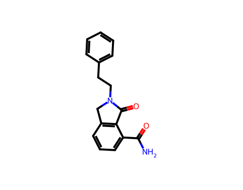 NC(=O)c1cccc2c1C(=O)N(CCc1ccccc1)C2